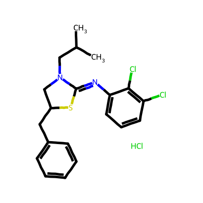 CC(C)CN1CC(Cc2ccccc2)SC1=Nc1cccc(Cl)c1Cl.Cl